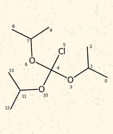 CC(C)OC(Cl)(OC(C)C)OC(C)C